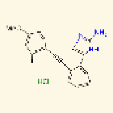 COc1ccc(C#Cc2ccccc2-c2cnc(N)[nH]2)c(C)c1.Cl